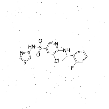 CC(Nc1ncc(S(=O)(=O)Nc2cscn2)cc1Cl)c1ccccc1F